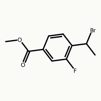 COC(=O)c1ccc(C(C)Br)c(F)c1